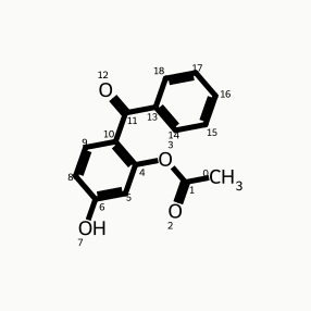 CC(=O)Oc1cc(O)ccc1C(=O)c1ccccc1